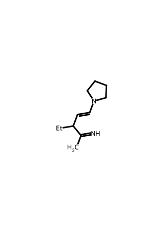 [CH2]CC(C=CN1CCCC1)C(C)=N